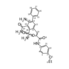 CCOc1ccc(NC(=O)/C=C/c2cc(-c3ccccc3)c(N)c(C(N)=O)c2S(N)(=O)=O)cc1